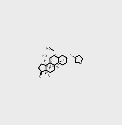 C[C@]12CC[C@@H](S[C@@H]3CCNC3)CC1[C@@H](CO)[C@@H](O)[C@@H]1[C@@H]2CC[C@]2(C)C(=O)CC[C@@H]12